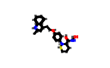 Cc1cc(CCOc2ccc(N3SCCCC3C(=O)NO)cc2)c2ccccc2n1